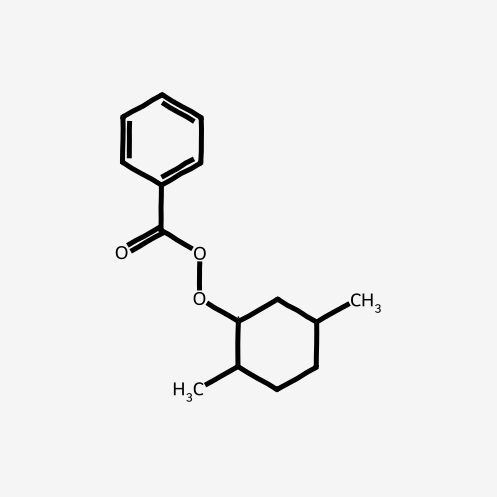 CC1CCC(C)[C](OOC(=O)c2ccccc2)C1